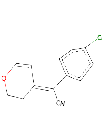 N#CC(=C1C=COCC1)c1ccc(Cl)cc1